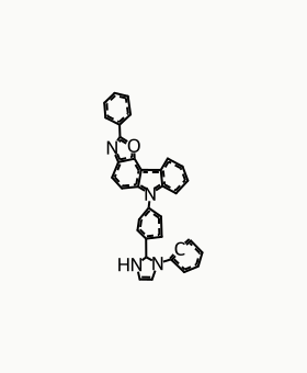 C1=CN(c2ccccc2)C(c2ccc(-n3c4ccccc4c4c5oc(-c6ccccc6)nc5ccc43)cc2)N1